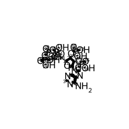 Nc1ncnc2c1ncn2[C@@H]1O[C@H](COP(=O)(O)OP(=O)(O)OP(=O)(O)O)C(OP(=O)(O)O)[C@@H]1OP(=O)(O)O